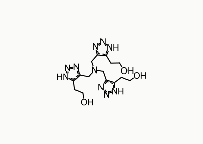 OCCc1[nH]nnc1CN(Cc1nn[nH]c1CCO)Cc1nn[nH]c1CCO